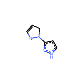 C1=C[N]N(c2cc[nH]n2)C1